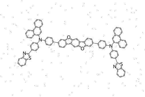 c1ccc2c(c1)cc(N(c1ccc(-c3ccc4c(c3)oc3cc5c(cc34)oc3cc(-c4ccc(N(c6ccc(-c7nc8ccccc8s7)cc6)c6cc7ccccc7c7ccccc67)cc4)ccc35)cc1)c1ccc(-c3nc4ccccc4s3)cc1)c1ccccc12